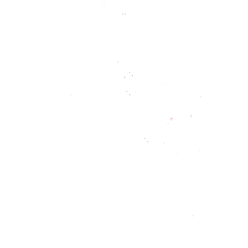 c1ccc(C2=C3c4ccccc4C(N(c4ccccc4)c4cccc(-c5ccccc5)c4)=C(c4ccccc4)N3NC2c2ccccc2)cc1